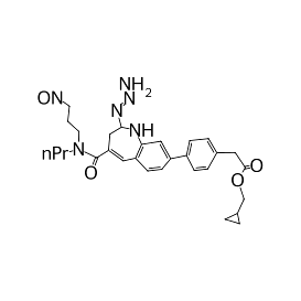 CCCN(CCCN=O)C(=O)C1=Cc2ccc(-c3ccc(CC(=O)OCC4CC4)cc3)cc2NC(N=NN)C1